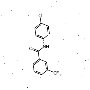 O=C(Nc1ccc(Cl)cc1)c1cccc(C(F)(F)F)c1